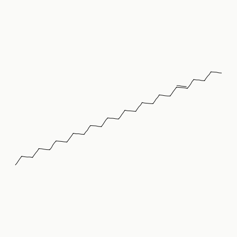 CCCC/C=C/CCCCCCCCCCCCCCCCCCC